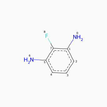 Nc1cccc(N)c1F